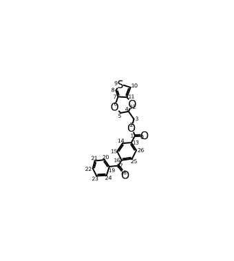 O=C(OCC1COc2cscc2O1)c1ccc(C(=O)c2ccccc2)cc1